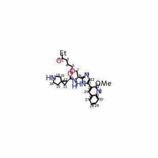 CCC(=O)CCCOCC(NC(=O)[C@H]1CC12CCNCC2)c1ncc(-c2cc3ccccc3nc2OC)[nH]1